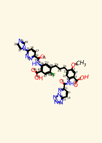 COc1cc(C(=O)O)c(NC(=O)c2ccc3nnnn3n2)cc1CCCc1cc(NC(=O)c2ccc(-n3ccnc3)nn2)c(C(=O)O)cc1F